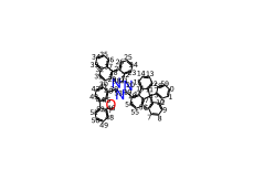 c1ccc(C2(c3ccccc3)c3ccccc3-c3c(-c4nc(-c5ccccc5-c5cccc6ccccc56)nc(-c5cccc6c5oc5ccccc56)n4)cccc32)cc1